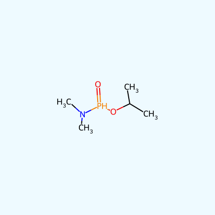 CC(C)O[PH](=O)N(C)C